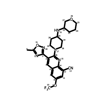 Cc1nc(-c2cc3cc(OC(F)(F)F)cc(C#N)c3nc2N2CCC(NC3CCCOC3)CC2)no1